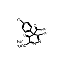 CCCC(=O)C1(c2ccc(Cl)cc2)C(=O)C(C(=O)[O-])=NN=C1CCC.[Na+]